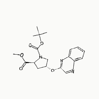 COC(=O)[C@@H]1C[C@@H](Oc2cnc3ccccc3n2)CN1C(=O)OC(C)(C)C